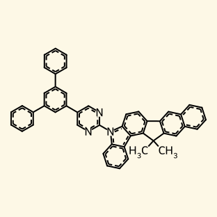 CC1(C)c2cc3ccccc3cc2-c2ccc3c(c21)c1ccccc1n3-c1ncc(-c2cc(-c3ccccc3)cc(-c3ccccc3)c2)cn1